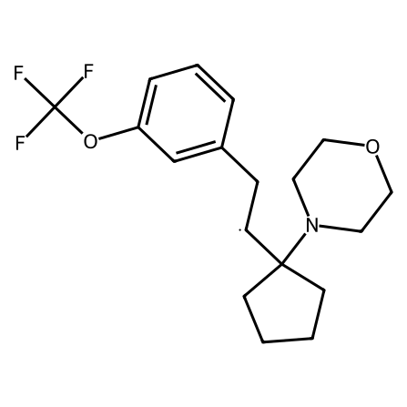 FC(F)(F)Oc1cccc(C[CH]C2(N3CCOCC3)CCCC2)c1